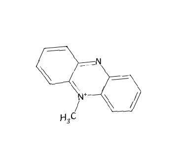 C[n+]1c2ccccc2nc2ccccc21